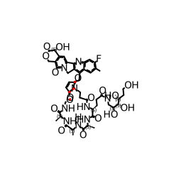 Cc1cc2c(CCCCOCNC(=O)[C@H](C)NC(=O)[C@H](C)NC(=O)[C@H](C)NC(=O)[C@H](CCC(=O)N(C)C[C@H](O)[C@@H](O)[C@H](O)CCO)NC(=O)CCN3C(=O)C=CC3=O)c3c(nc2cc1F)-c1cc2c(c(=O)n1C3)COC(=O)[C@H]2O